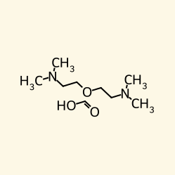 CN(C)CCOCCN(C)C.O=CO